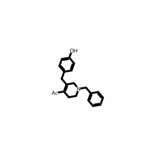 CC(=O)C1=C(Cc2ccc(O)cc2)CN(Cc2ccccc2)CC1